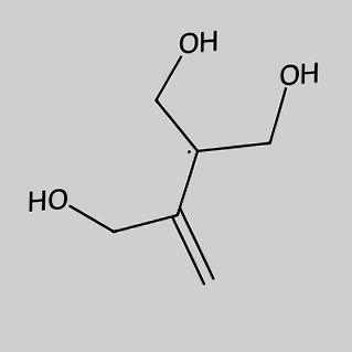 C=C(CO)[C](CO)CO